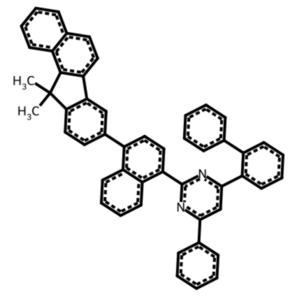 CC1(C)c2ccc(-c3ccc(-c4nc(-c5ccccc5)cc(-c5ccccc5-c5ccccc5)n4)c4ccccc34)cc2-c2ccc3ccccc3c21